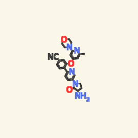 Cc1cc(Oc2cc(C#N)ccc2-c2ccc(N3CCC(N)C3=O)cn2)cc(N2CCOCC2)n1